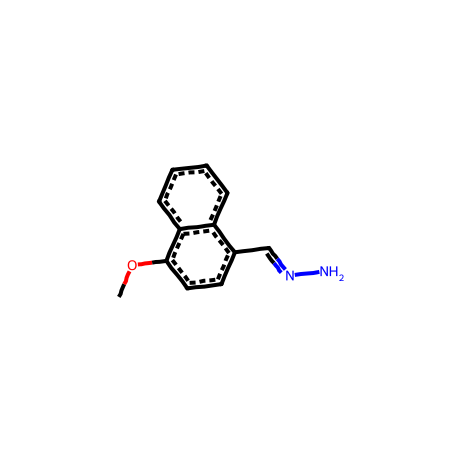 COc1ccc(C=NN)c2ccccc12